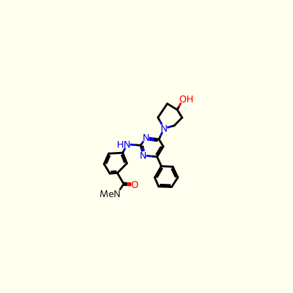 CNC(=O)c1cccc(Nc2nc(-c3ccccc3)cc(N3CCC(O)CC3)n2)c1